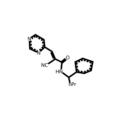 CCCC(NC(=O)/C(C#N)=C/c1ccncn1)c1ccccc1